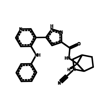 N#CN1CC2CCC1[C@@H]2NC(=O)c1cc(-c2cnccc2Nc2ccccc2)[nH]n1